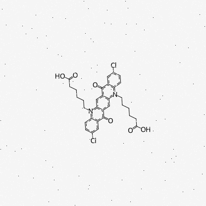 O=C(O)CCCCCn1c2ccc(Cl)cc2c(=O)c2cc3c(cc21)c(=O)c1cc(Cl)ccc1n3CCCCCC(=O)O